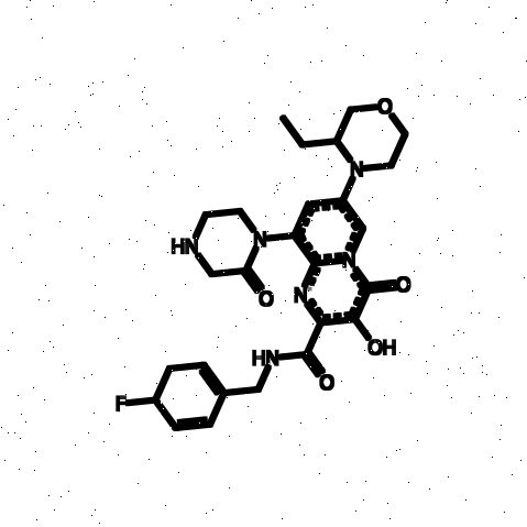 CCC1COCCN1c1cc(N2CCNCC2=O)c2nc(C(=O)NCC3=CCC(F)C=C3)c(O)c(=O)n2c1